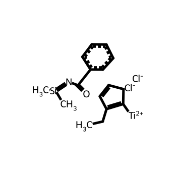 CCC1=[C]([Ti+2])CC=C1.C[Si](C)=NC(=O)c1ccccc1.[Cl-].[Cl-]